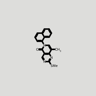 CSc1ncc2c(=O)n(-c3cccc4ccccc34)cc(C)c2n1